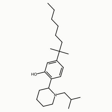 CCCCCCC(C)(C)c1ccc(C2CCCCN2CC(C)C)c(O)c1